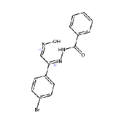 O=C(N/N=C(\C=N/O)c1ccc(Br)cc1)c1ccccc1